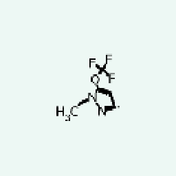 CCn1n[c]cc1OC(F)(F)F